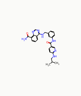 CC(C)CNc1ccc(C(=O)Nc2cccc(CNc3ncnc4c(C(N)=O)cccc34)c2)cn1